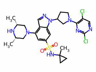 C[C@@H]1CN(c2cc(S(=O)(=O)NC3(C)CC3)cc3c2cnn3C2CCN(c3nc(Cl)ncc3Cl)C2)C[C@H](C)N1